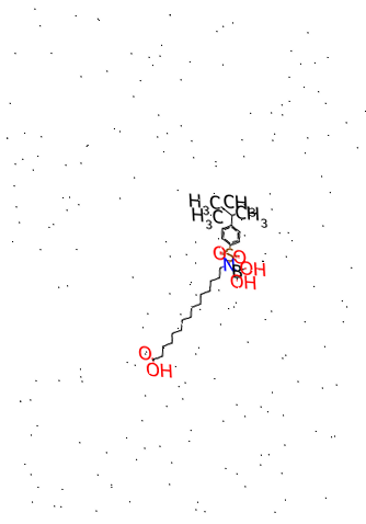 CC(c1ccc(S(=O)(=O)N(CCCCCCCCCCCCCCC(=O)O)B(O)O)cc1)C(C)(C)C